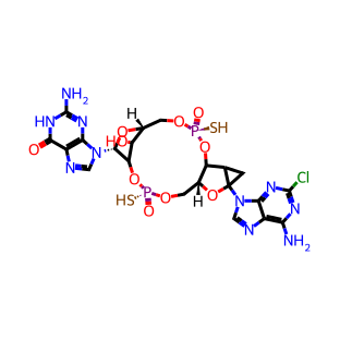 Nc1nc2c(ncn2[C@@H]2O[C@@H]3CO[P@@](=O)(S)OC4C5CC5(n5cnc6c(N)nc(Cl)nc65)O[C@@H]4CO[P@](=O)(S)OC2C3O)c(=O)[nH]1